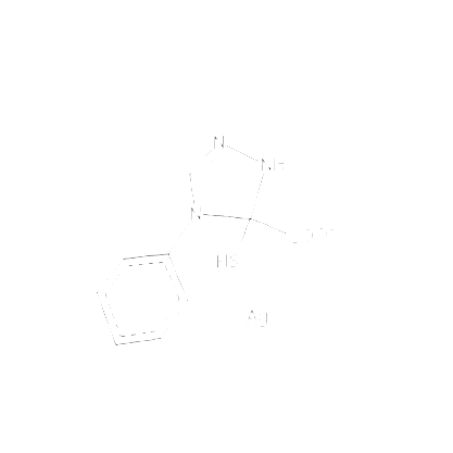 O=C([O-])C1(S)NN=CN1c1ccccc1.[Ag+]